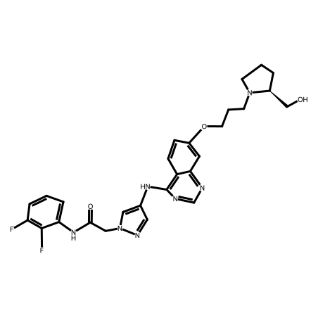 O=C(Cn1cc(Nc2ncnc3cc(OCCCN4CCC[C@H]4CO)ccc23)cn1)Nc1cccc(F)c1F